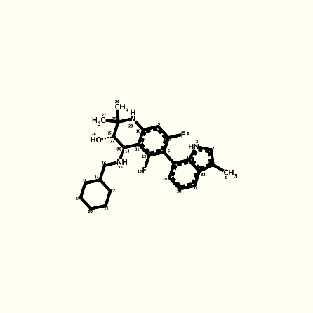 Cc1c[nH]c2c(-c3c(F)cc4c(c3F)[C@@H](NCC3CCCCC3)[C@H](O)C(C)(C)N4)cccc12